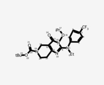 CCN(c1ccc(C(F)(F)F)cc1)c1nc2c(c(=O)n1OC(C)C)CN(C(=O)OC(C)(C)C)CC2